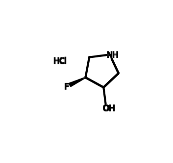 Cl.OC1CNC[C@@H]1F